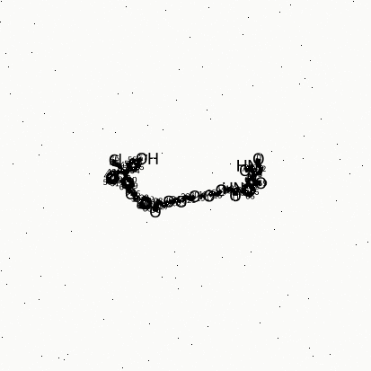 O=C1CCC(N2Cc3c(NC(=O)CCOCCOCCOCCOCCOCCC(=O)N4CCN(CCOc5ccc(C(=C(CCCl)c6ccccc6)c6ccc(O)cc6)cc5)CC4)cccc3C2=O)C(=O)N1